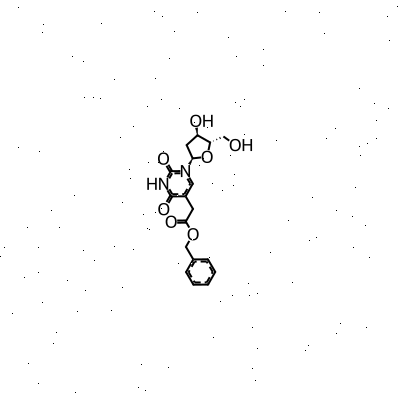 O=C(Cc1cn([C@H]2C[C@@H](O)[C@H](CO)O2)c(=O)[nH]c1=O)OCc1ccccc1